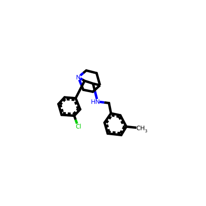 Cc1cccc(CNC2C3CCN(CC3)C2c2cccc(Cl)c2)c1